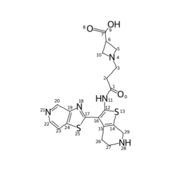 O=C(CCN1CC(C(=O)O)C1)Nc1sc2c(c1-c1nc3cnccc3s1)CCNC2